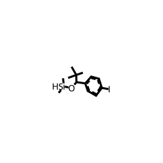 C[SiH](C)OC(c1ccc(I)cc1)C(C)(C)C